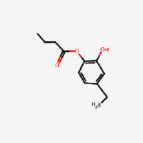 BCc1ccc(OC(=O)CCC)c(O)c1